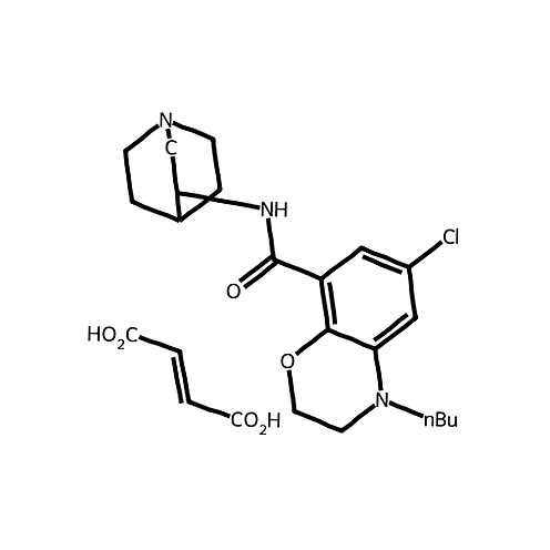 CCCCN1CCOc2c(C(=O)NC3CN4CCC3CC4)cc(Cl)cc21.O=C(O)C=CC(=O)O